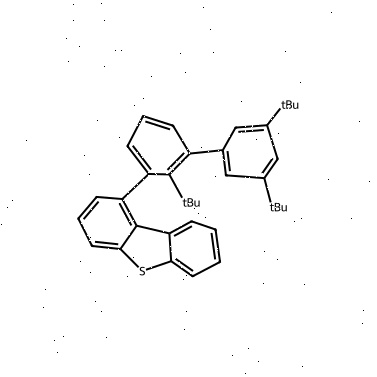 CC(C)(C)c1cc(-c2cccc(-c3cccc4sc5ccccc5c34)c2C(C)(C)C)cc(C(C)(C)C)c1